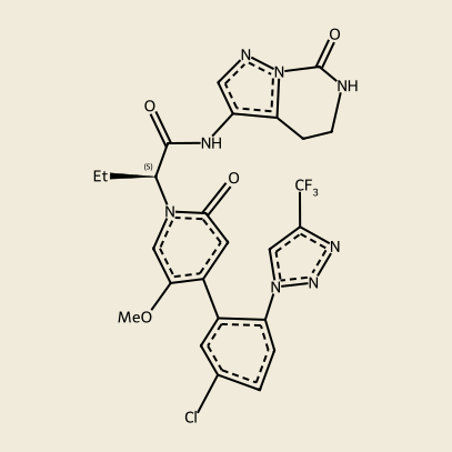 CC[C@@H](C(=O)Nc1cnn2c1CCNC2=O)n1cc(OC)c(-c2cc(Cl)ccc2-n2cc(C(F)(F)F)nn2)cc1=O